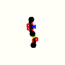 O=C(NC(=O)OCc1ccc(SSC(=O)OCc2ccccc2)cc1)OCc1ccccc1